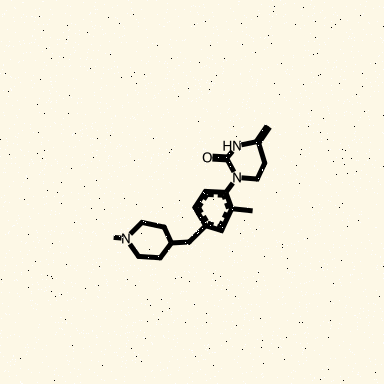 C=C1CCN(c2ccc(CC3CCN(C)CC3)cc2C)C(=O)N1